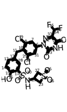 O=c1[nH]c(=O)n(-c2cc(Cl)c(Cc3ccc(O)c(S(=O)(=O)NC4CS(=O)(=O)C4)c3)c(Cl)c2)nc1C(F)F